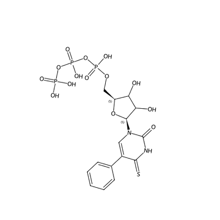 O=c1[nH]c(=S)c(-c2ccccc2)cn1[C@H]1O[C@@H](COP(=O)(O)OP(=O)(O)OP(=O)(O)O)C(O)C1O